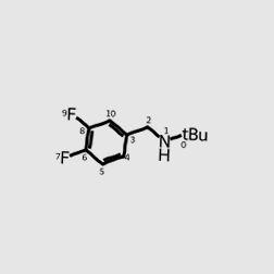 CC(C)(C)NCc1ccc(F)c(F)c1